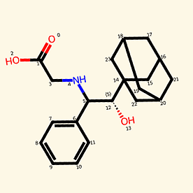 O=C(O)CNC(c1ccccc1)[C@@H](O)C12CC3CC(CC(C3)C1)C2